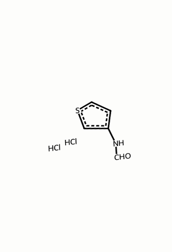 Cl.Cl.O=CNc1ccsc1